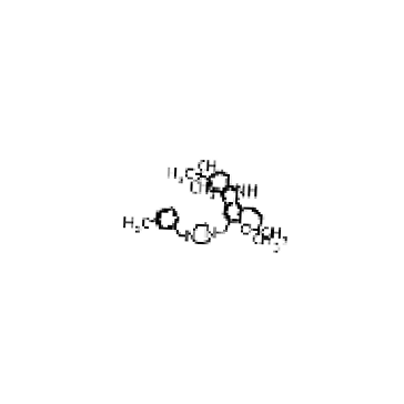 Cc1cccc(CN2CCN(Cc3cc4c([nH]c5ccc(C(C)(C)C)cc54)c4c3OC(C)(C)C=C4)CC2)c1